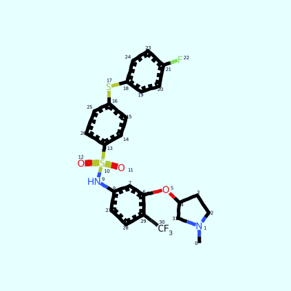 CN1CCC(Oc2cc(NS(=O)(=O)c3ccc(Sc4ccc(F)cc4)cc3)ccc2C(F)(F)F)C1